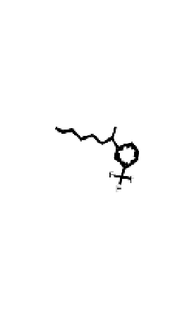 CCCCCCC(C)c1cccc(C(F)(F)F)c1